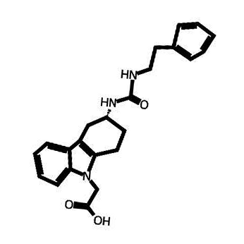 O=C(O)Cn1c2c(c3ccccc31)C[C@H](NC(=O)NCCc1ccccc1)CC2